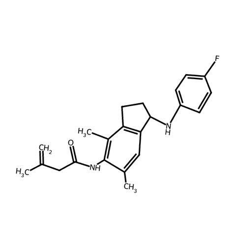 C=C(C)CC(=O)Nc1c(C)cc2c(c1C)CCC2Nc1ccc(F)cc1